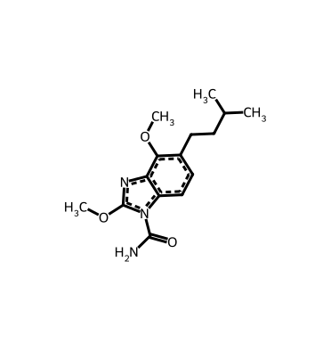 COc1c(CCC(C)C)ccc2c1nc(OC)n2C(N)=O